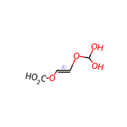 O=C(O)O/C=C/OC(O)O